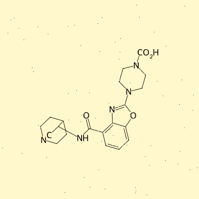 O=C(NC1CN2CCC1CC2)c1cccc2oc(N3CCN(C(=O)O)CC3)nc12